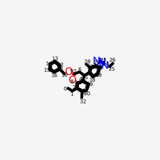 CCc1cc(C(CC(=O)OCc2ccccc2)c2ccc3c(nnn3CC)c2C)ccc1C